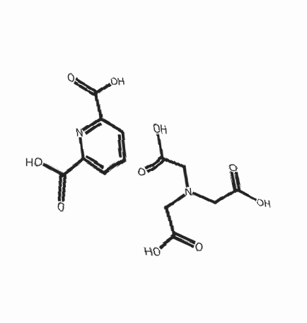 O=C(O)CN(CC(=O)O)CC(=O)O.O=C(O)c1cccc(C(=O)O)n1